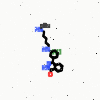 CCCCNCCCCCNc1cccc(-c2n[nH]c(=O)c3ccccc23)c1.Cl